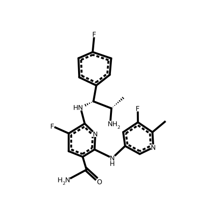 Cc1ncc(Nc2nc(N[C@H](c3ccc(F)cc3)[C@H](C)N)c(F)cc2C(N)=O)cc1F